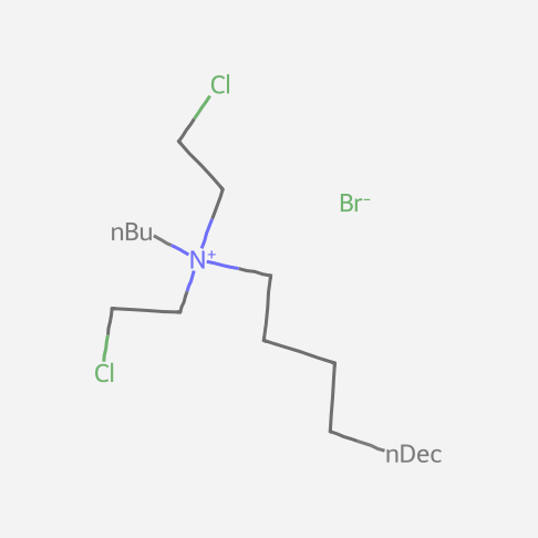 CCCCCCCCCCCCCC[N+](CCCl)(CCCl)CCCC.[Br-]